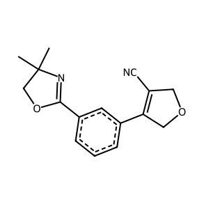 CC1(C)COC(c2cccc(C3=C(C#N)COC3)c2)=N1